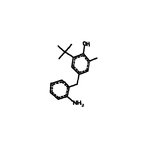 Cc1cc(Cc2ccccc2N)cc(C(C)(C)C)c1O